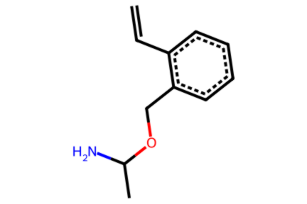 C=Cc1ccccc1COC(C)N